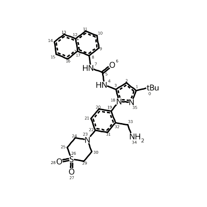 CC(C)(C)c1cc(NC(=O)Nc2cccc3ccccc23)n(-c2ccc(N3CCS(=O)(=O)CC3)cc2CN)n1